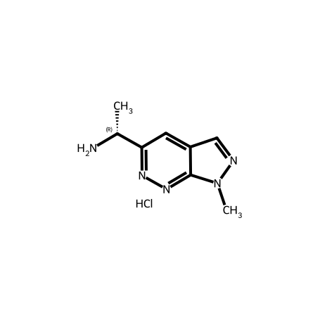 C[C@@H](N)c1cc2cnn(C)c2nn1.Cl